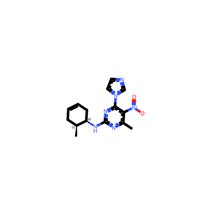 Cc1nc(N[C@@H]2CC=CC[C@@H]2C)nc(-n2ccnc2)c1[N+](=O)[O-]